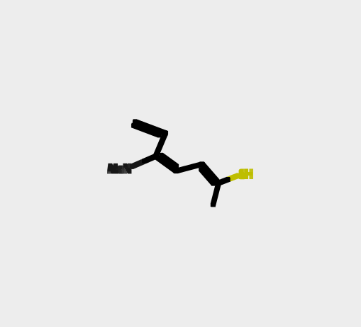 C=C/C(=C\C=C(/C)S)NC